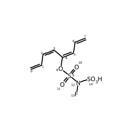 C=C/C=C\C(=C/C=C)OS(=O)(=O)N(F)S(=O)(=O)O